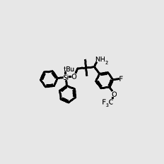 CC(C)(CO[Si](c1ccccc1)(c1ccccc1)C(C)(C)C)C(N)c1ccc(OC(F)(F)F)c(F)c1